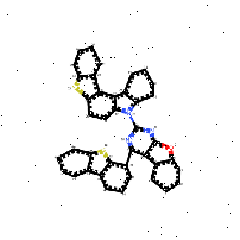 c1ccc2c(c1)oc1nc(-n3c4ccccc4c4c5c(ccc43)sc3ccccc35)nc(-c3cccc4c3sc3ccccc34)c12